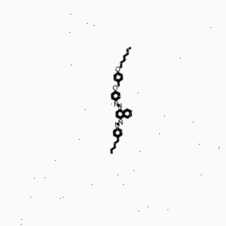 CCCCCCCOc1ccc(COc2ccc(N=Nc3ccc(N=Nc4ccc(CCCCC)cc4)c4ccccc34)cc2)cc1